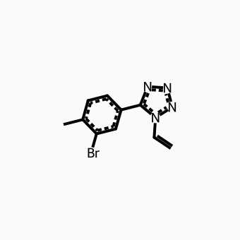 C=Cn1nnnc1-c1ccc(C)c(Br)c1